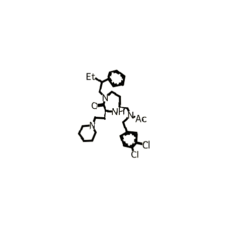 CCC(CN1CC[C@@H](CN(Cc2ccc(Cl)c(Cl)c2)C(C)=O)N[C@@H](CCN2CCCCC2)C1=O)c1ccccc1